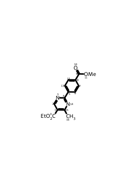 CCOC(=O)c1cnc(-c2ccc(C(=O)OC)cc2)nc1C